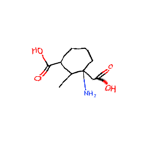 CC1C(C(=O)O)CCCC1(N)C(=O)O